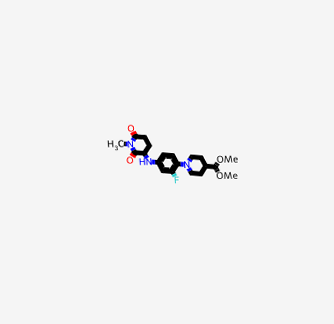 COC(OC)C1CCN(c2ccc(NC3CCC(=O)N(C)C3=O)cc2F)CC1